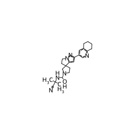 CC(C)(C#N)NC(O)N1CCC2(CCn3nc(-c4cnc5c(c4)CCCC5)cc32)C1